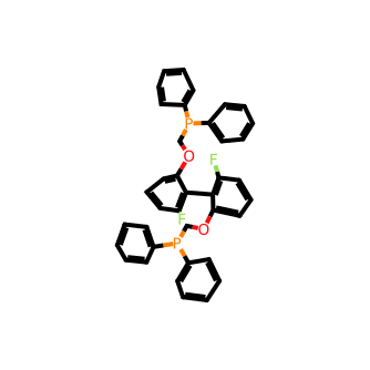 Fc1cccc(OCP(c2ccccc2)c2ccccc2)c1-c1c(F)cccc1OCP(c1ccccc1)c1ccccc1